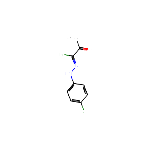 COC(=O)/C(Br)=N/Nc1ccc(Cl)cc1